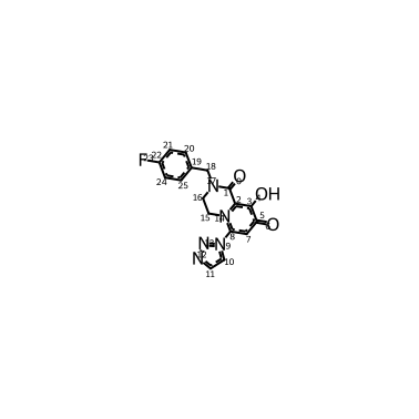 O=C1c2c(O)c(=O)cc(-n3ccnn3)n2CCN1Cc1ccc(F)cc1